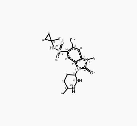 CC1CCC(n2c(=O)n(C)c3cc(F)c(S(=O)(=O)NC4(C)CC4)cc32)NN1